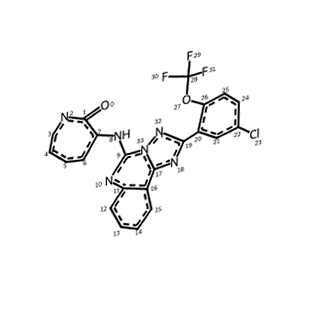 O=c1nccccc1Nc1nc2ccccc2c2nc(-c3cc(Cl)ccc3OC(F)(F)F)nn12